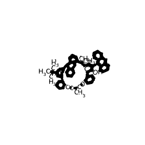 CC1COc2ccccc2-c2cc(cc(-c3c4ccccc4cc4ccccc34)c2O)C(C)(C)c2cccc3c(c4ccccc4cc23)-c2cc(C(C)(C)C)cc(c2O)-c2ccccc2OC1